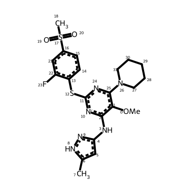 COc1c(Nc2cc(C)[nH]n2)nc(Sc2ccc(S(C)(=O)=O)cc2F)nc1N1CCCCC1